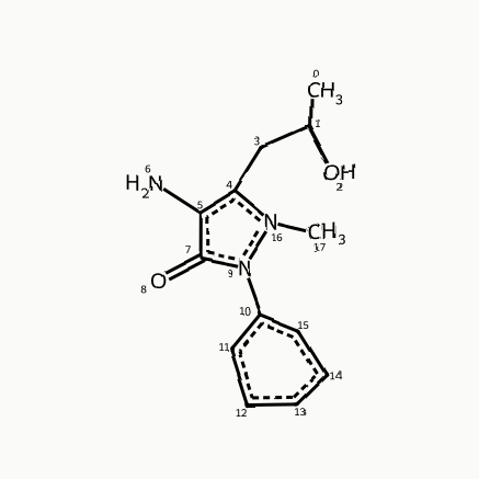 CC(O)Cc1c(N)c(=O)n(-c2ccccc2)n1C